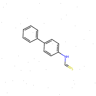 S=CNc1ccc(-c2ccccc2)cc1